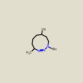 CC1CCCC(C#N)CCN(C(C)(C)C)/N=N\1